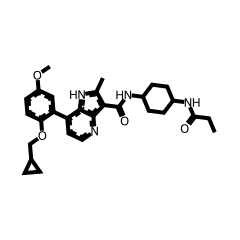 CCC(=O)NC1CCC(NC(=O)c2c(C)[nH]c3c(-c4cc(OC)ccc4OCC4CC4)ccnc23)CC1